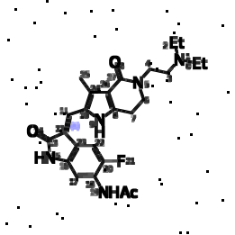 CCN(CC)CCN1CCc2[nH]c(/C=C3/C(=O)Nc4cc(NC(C)=O)c(F)cc43)c(C)c2C1=O